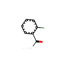 CCCCCC(=O)c1ccccc1Cl